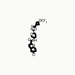 O=C(N[C@@H]1CC[C@@H](c2nnc(C3CC(OC(F)(F)F)C3)o2)OC1)c1ccc2cc(Cl)ccc2n1